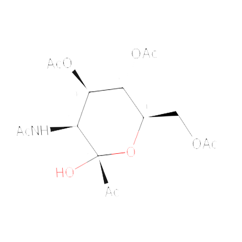 CC(=O)N[C@H]1[C@@H](OC(C)=O)[C@H](OC(C)=O)[C@@H](COC(C)=O)O[C@@]1(O)C(C)=O